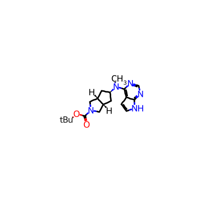 CN(c1ncnc2[nH]ccc12)[C@H]1C[C@@H]2CN(C(=O)OC(C)(C)C)C[C@@H]2C1